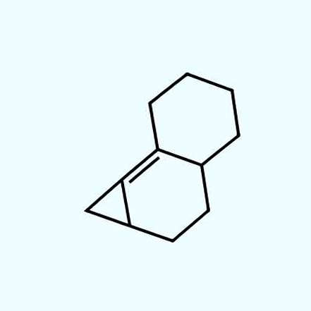 C1CCC2CCC3CC3=C2C1